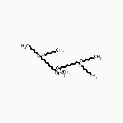 CCCCCCOC(CCCCCC=CC(OC)OC(C=CCCCCCC(OCCCCCC)OCCCCCC)OC)OCCCCCC